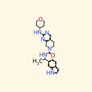 CC(NC(=O)N1CCc2cnc(NC3CCOCC3)nc2C1)c1ccc2cc[nH]c2c1